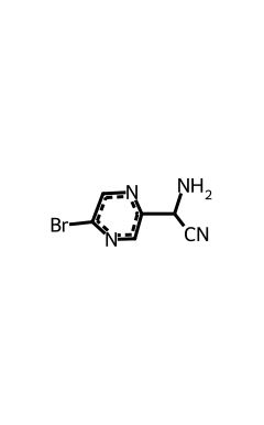 N#CC(N)c1cnc(Br)cn1